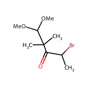 COC(OC)C(C)(C)C(=O)C(C)Br